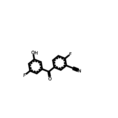 N#Cc1cc(C(=O)c2cc(O)cc(F)c2)ccc1F